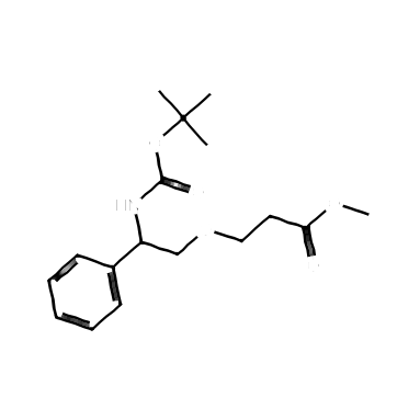 COC(=O)CCOCC(NC(=O)OC(C)(C)C)c1ccccc1